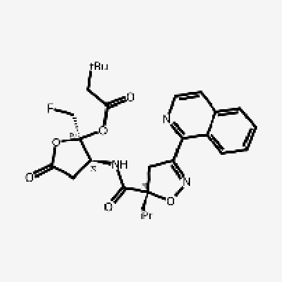 CC(C)[C@@]1(C(=O)N[C@H]2CC(=O)O[C@@]2(CF)OC(=O)CC(C)(C)C)CC(c2nccc3ccccc23)=NO1